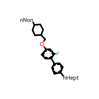 CCCCCCCCCC1CCC(COc2ccc(-c3ccc(CCCCCCC)cc3)c(F)c2)CC1